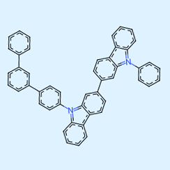 c1ccc(-c2cccc(-c3ccc(-n4c5ccccc5c5ccc(-c6ccc7c8ccccc8n(-c8ccccc8)c7c6)cc54)cc3)c2)cc1